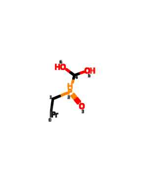 CC(C)C[PH](=O)C(O)O